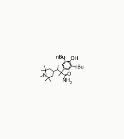 CCCCc1cc(C(C)(C(N)=O)C(C)C2CC(C)(C)N(C)C(C)(C)C2)cc(CCCC)c1O